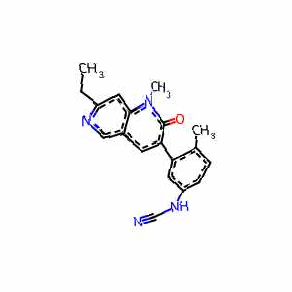 CCc1cc2c(cn1)cc(-c1cc(NC#N)ccc1C)c(=O)n2C